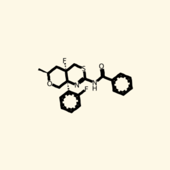 C[C@H]1C[C@@]2(F)CSC(NC(=O)c3ccccc3)=N[C@@]2(c2ccccc2F)CO1